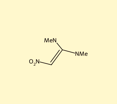 CNC(=C[N+](=O)[O-])NC